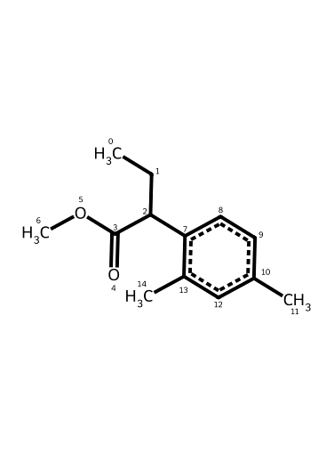 CCC(C(=O)OC)c1ccc(C)cc1C